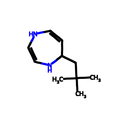 CC(C)(C)CC1C=CNC=CN1